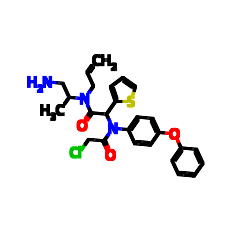 C=CCN(C(=O)C(c1cccs1)N(C(=O)CCl)c1ccc(Oc2ccccc2)cc1)C(C)CN